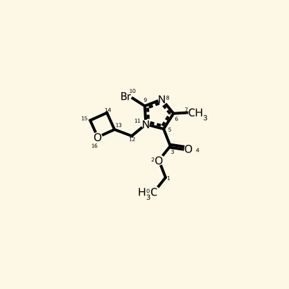 CCOC(=O)c1c(C)nc(Br)n1CC1CCO1